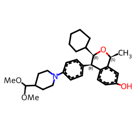 COC(OC)C1CCN(c2ccc([C@@H]3c4ccc(O)cc4[C@H](C)O[C@@H]3C3CCCCC3)cc2)CC1